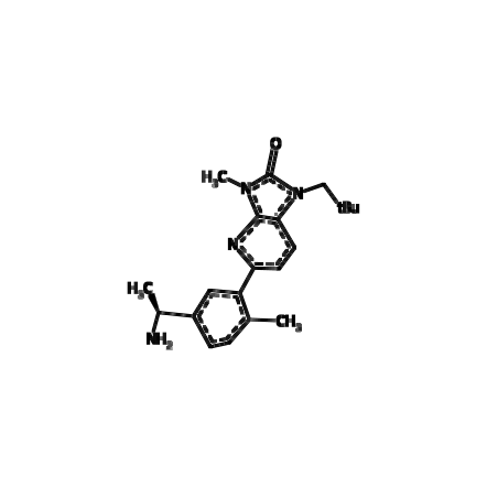 Cc1ccc([C@H](C)N)cc1-c1ccc2c(n1)n(C)c(=O)n2CC(C)(C)C